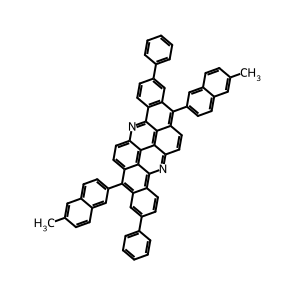 Cc1ccc2cc(-c3c4cc(-c5ccccc5)ccc4c4nc5ccc6c(-c7ccc8cc(C)ccc8c7)c7cc(-c8ccccc8)ccc7c7nc8ccc3c4c8c5c67)ccc2c1